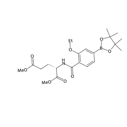 CCOc1cc(B2OC(C)(C)C(C)(C)O2)ccc1C(=O)N[C@@H](CCC(=O)OC)C(=O)OC